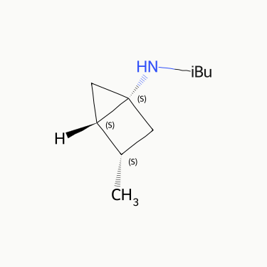 CCC(C)N[C@]12C[C@H](C)[C@@H]1C2